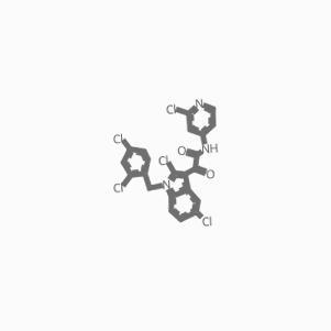 O=C(Nc1ccnc(Cl)c1)C(=O)c1c(Cl)n(Cc2ccc(Cl)cc2Cl)c2ccc(Cl)cc12